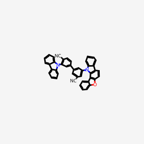 N#Cc1cc(-c2ccc(C#N)c(-n3c4ccccc4c4ccccc43)c2)cc(-n2c3ccccc3c3ccc4oc5ccccc5c4c32)c1